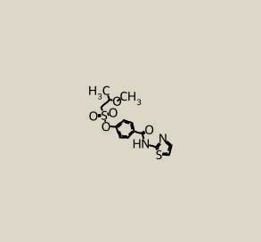 COC(C)CS(=O)(=O)Oc1ccc(C(=O)Nc2nccs2)cc1